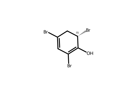 OC1=C(Br)C=C(Br)C[C@@H]1Br